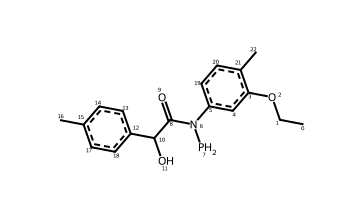 CCOc1cc(N(P)C(=O)C(O)c2ccc(C)cc2)ccc1C